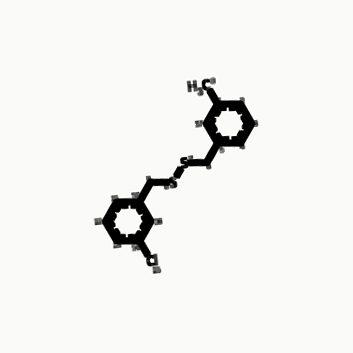 Cc1cccc(CSSCc2cccc(Cl)c2)c1